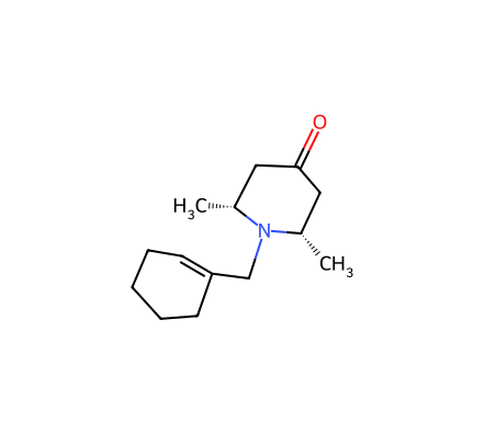 C[C@@H]1CC(=O)C[C@H](C)N1CC1=CCCCC1